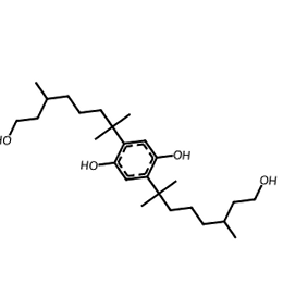 CC(CCO)CCCC(C)(C)c1cc(O)c(C(C)(C)CCCC(C)CCO)cc1O